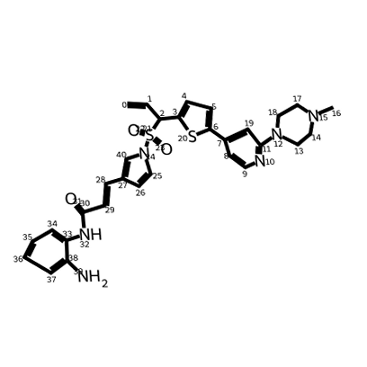 C=CC(c1ccc(-c2ccnc(N3CCN(C)CC3)c2)s1)S(=O)(=O)n1ccc(/C=C/C(=O)Nc2ccccc2N)c1